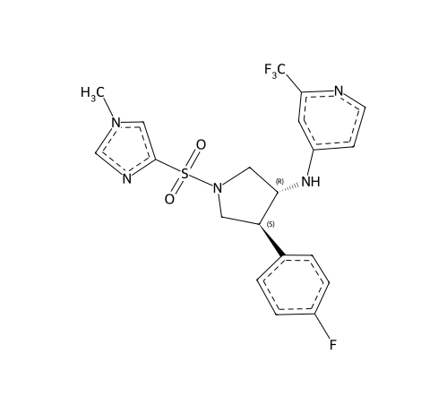 Cn1cnc(S(=O)(=O)N2C[C@H](Nc3ccnc(C(F)(F)F)c3)[C@@H](c3ccc(F)cc3)C2)c1